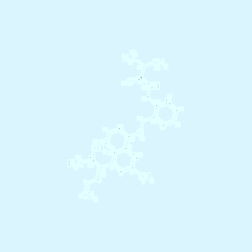 C=C/C=C(/c1cc(C)nc2c(OCc3cccnc3CNC(=O)C(C)C)cccc12)N(C)C